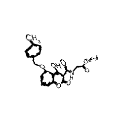 Cc1ccc(COc2cccc3oc(=O)c(C(=O)NCC(=O)O)c(O)c23)cc1